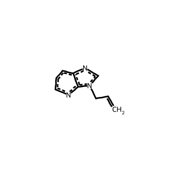 C=CCn1cnc2cccnc21